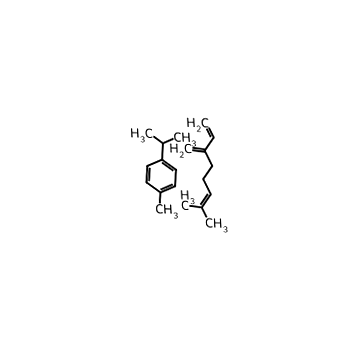 C=CC(=C)CCC=C(C)C.Cc1ccc(C(C)C)cc1